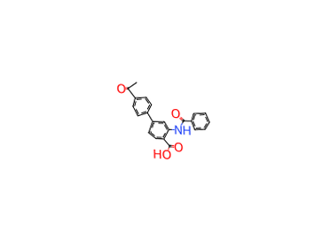 CC(=O)c1ccc(-c2ccc(C(=O)O)c(NC(=O)c3ccccc3)c2)cc1